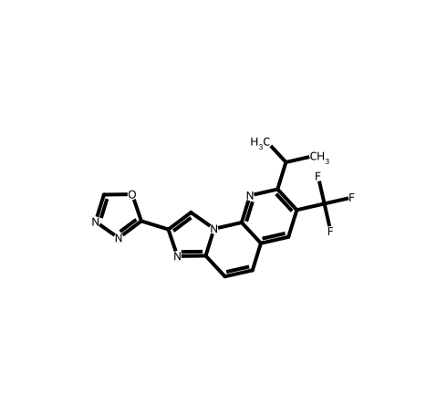 CC(C)c1nc2c(ccc3nc(-c4nnco4)cn32)cc1C(F)(F)F